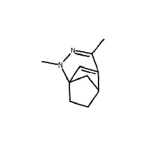 CC1=NN(C)C23C=C1C(CC2)C3